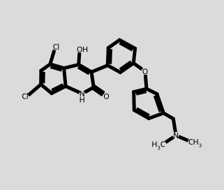 CN(C)Cc1cccc(Oc2cccc(-c3c(O)c4c(Cl)cc(Cl)cc4[nH]c3=O)c2)c1